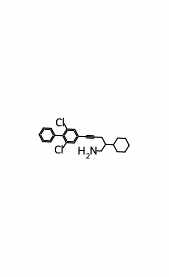 NCC(CC#Cc1cc(Cl)c(-c2ccccc2)c(Cl)c1)C1CCCCC1